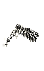 C.C.C.C.C.C.C.C.C.C.CC.CCC.N=C=O.N=C=O.N=C=O.N=C=O.N=C=O.N=C=O.N=C=O.N=C=O